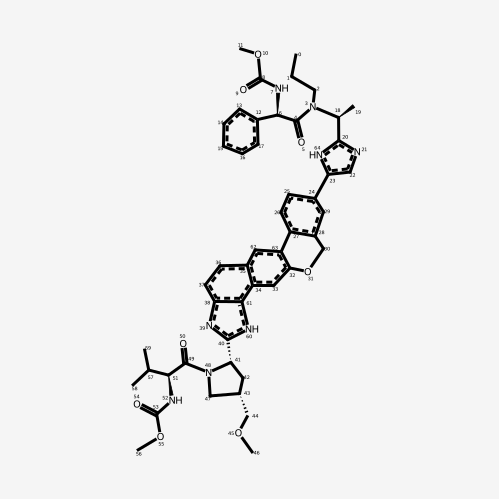 CCCN(C(=O)[C@H](NC(=O)OC)c1ccccc1)[C@@H](C)c1ncc(-c2ccc3c(c2)COc2cc4c(ccc5nc([C@@H]6C[C@H](COC)CN6C(=O)[C@@H](NC(=O)OC)C(C)C)[nH]c54)cc2-3)[nH]1